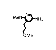 CNc1ncc(N)cc1CCCOC